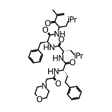 C=C(C)C(=O)C(CC(C)C)NC(=O)[C@H](Cc1ccccc1)NC(=O)[C@H](CC(C)C)NC(=O)[C@H](CCc1ccccc1)NC(=O)CN1CCOCC1